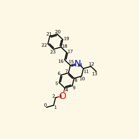 CCCOc1ccc2c(c1)CC(CC)N=C2C=Cc1ccccc1